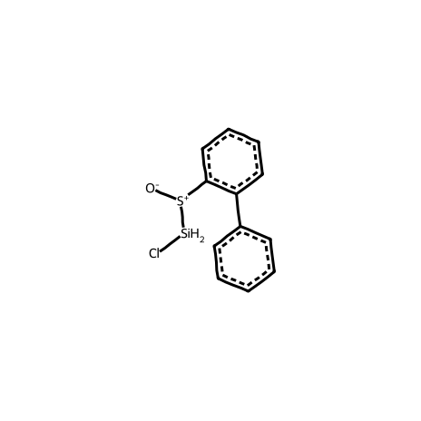 [O-][S+]([SiH2]Cl)c1ccccc1-c1ccccc1